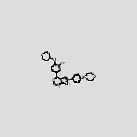 N#Cc1cc(-c2ncnc3[nH]c(-c4ccc(N5CCOCC5)cc4)cc23)ccc1OC1CCOCC1